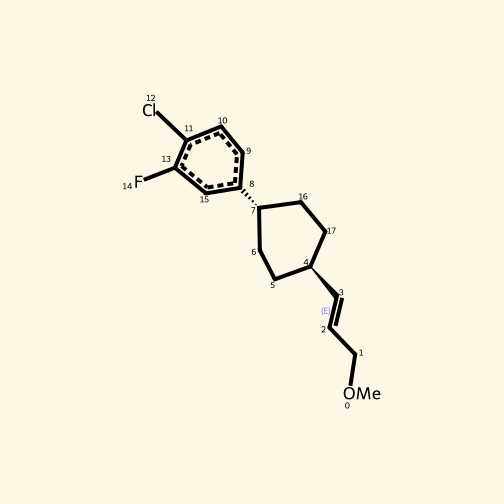 COC/C=C/[C@H]1CC[C@H](c2ccc(Cl)c(F)c2)CC1